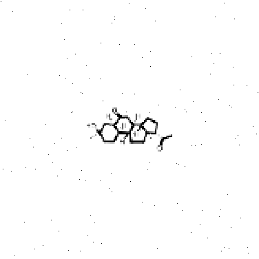 CC(=O)[C@H]1CC[C@H]2[C@@H]3CC(=O)[C@@H]4C[C@](C)(O)CC[C@@H]4[C@H]3CC[C@]12C